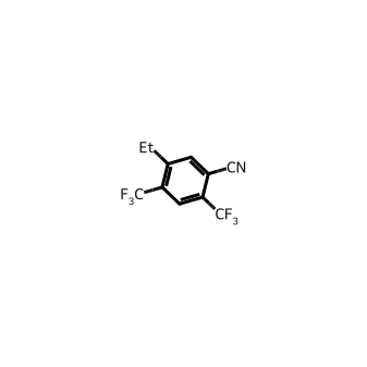 CCc1cc(C#N)c(C(F)(F)F)cc1C(F)(F)F